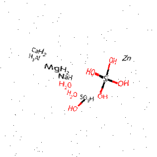 O.O.O=S(=O)(O)O.O[Si](O)(O)O.[AlH3].[CaH2].[MgH2].[NaH].[Zn]